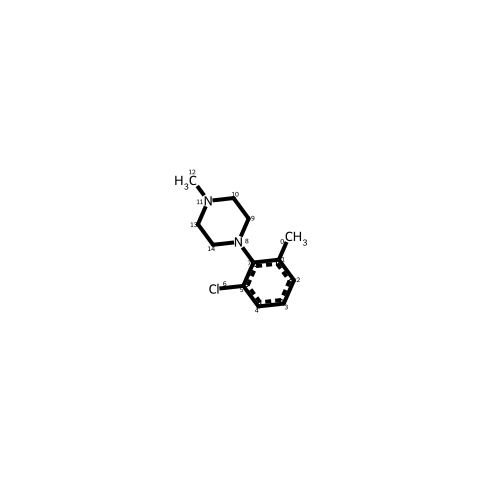 Cc1cccc(Cl)c1N1CCN(C)CC1